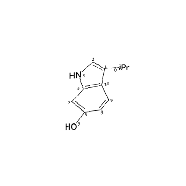 CC(C)c1c[nH]c2cc(O)ccc12